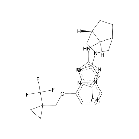 Cc1cc(N2CC3CC[C@@H](C2)[C@@H]3Nc2nc3c(OCC4(C(F)(F)F)CC4)cccn3n2)on1